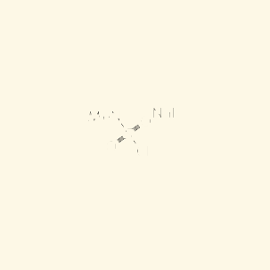 CNS(C)(=O)=O.[NaH]